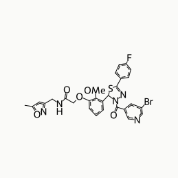 COc1c(OCC(=O)NCc2cc(C)on2)cccc1C1SC(c2ccc(F)cc2)=NN1C(=O)c1cncc(Br)c1